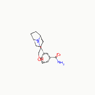 NC(=O)c1cccc(C2CC3CCC(C2)N3CCO)c1